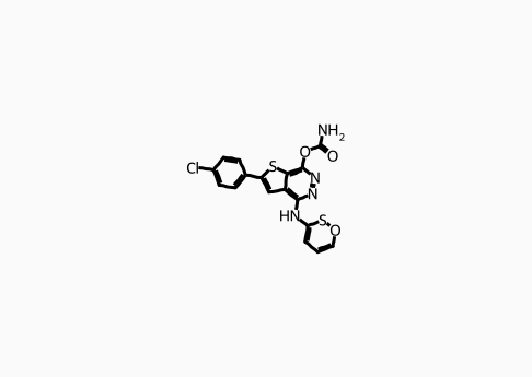 NC(=O)Oc1nnc(NC2=CC=COS2)c2cc(-c3ccc(Cl)cc3)sc12